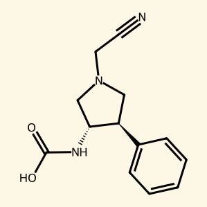 N#CCN1C[C@@H](NC(=O)O)[C@H](c2ccccc2)C1